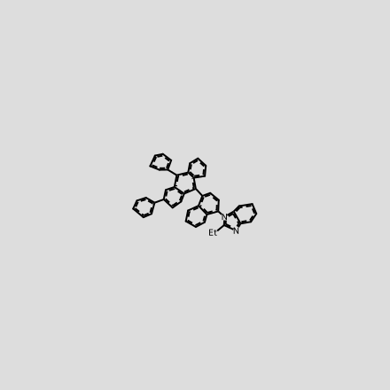 CCc1nc2ccccc2n1-c1ccc(-c2c3ccccc3c(-c3ccccc3)c3cc(-c4ccccc4)ccc23)c2ccccc12